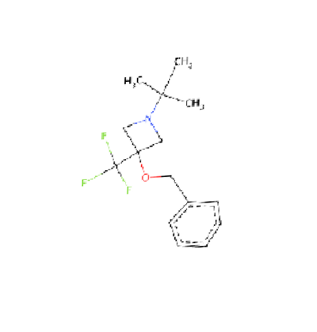 CC(C)(C)N1CC(OCc2ccccc2)(C(F)(F)F)C1